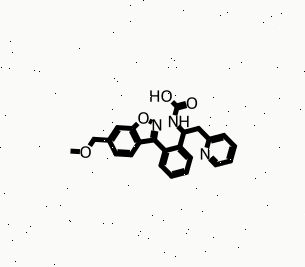 COCc1ccc2c(-c3ccccc3C(Cc3ccccn3)NC(=O)O)noc2c1